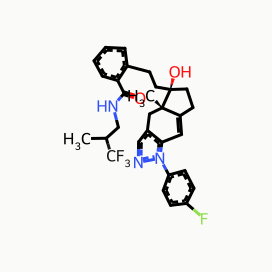 CC(CNC(=O)c1ccccc1CC[C@]1(O)CCC2=Cc3c(cnn3-c3ccc(F)cc3)C[C@@]21C)C(F)(F)F